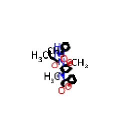 COc1ccc(N(C)c2cc(=O)oc3ccccc23)cc1NC(=O)C(CC(C)C)NC(=O)c1ccccc1